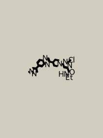 CCNC(=O)c1cc(N2CCC(c3cnc4ccc(-c5cnn(C)c5)cc4n3)CC2)nc(Cl)n1